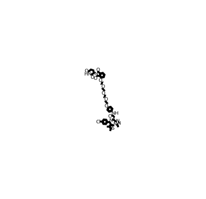 Cc1sc2c(c1C)C(c1ccc(Cl)cc1)=N[C@@H](CC(=O)Nc1ccc(OCCOCCOCCOCCOc3cccc4c3C(=O)N(C3CCC(=O)NC3=O)C4=O)cc1)c1nnc(C)n1-2